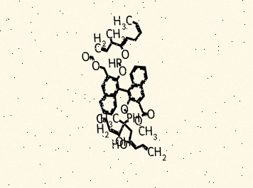 C=C/C=C(/O)CC(C)(POc1c(C(=O)OC)cc2ccccc2c1-c1c(OPO/C(=C\C/C=C\C)C(C)C=C)c(COC=O)cc2ccccc12)/C(O)=C\C=C